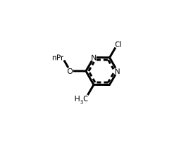 CCCOc1nc(Cl)ncc1C